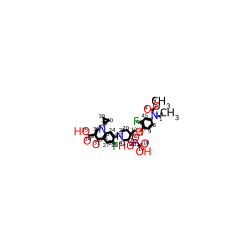 CCN(C(=O)OC)c1ccc(OCC2(OP(O)C(=O)O)CCN(c3cc4c(cc3F)c(=O)c(C(=O)O)cn4C3CC3)CC2)c(F)c1